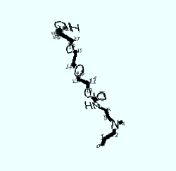 CCCN(C)CCNC(=O)OCCOCCOCCO